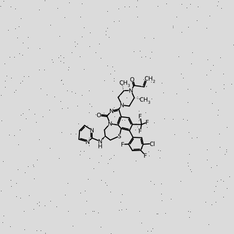 C=CC(=O)N1[C@H](C)CN(c2nc(=O)n3c4c(c(-c5cc(Cl)c(F)cc5F)c(C(F)(F)F)cc24)SC[C@@H](Nc2ncccn2)C3)C[C@@H]1C